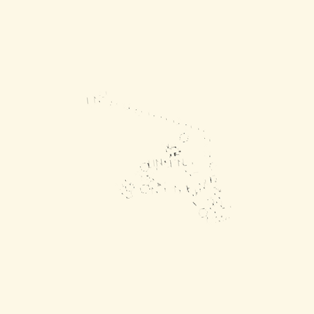 COc1ccc(C#CCNC2(C)CCN(C3CCN(c4nc([C@@](COCNC(=O)CNC(=O)[C@H](Cc5ccccc5)NC(=O)CNC(=O)CN)(OC5CC5)c5ccccc5)c5cc(-c6cn(C)c(=O)c7[nH]ccc67)ccc5n4)CC3)CC2)cc1N1CCC(=O)N(CNC(=O)[C@H](COCCOCCOCCOCCOCCOCCOCCOCCOCCOCCOCCOCCC(N)=O)CC(N)=O)C1=O